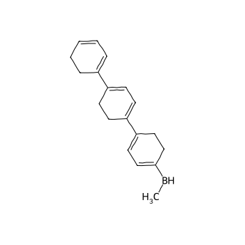 CBC1=CC=C(C2=CC=C(C3=CC=CCC3)CC2)CC1